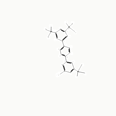 CC(C)(C)c1cc(Br)cc(-c2ccc(-c3cc(C(C)(C)C)cc(C(C)(C)C)c3)cc2)c1